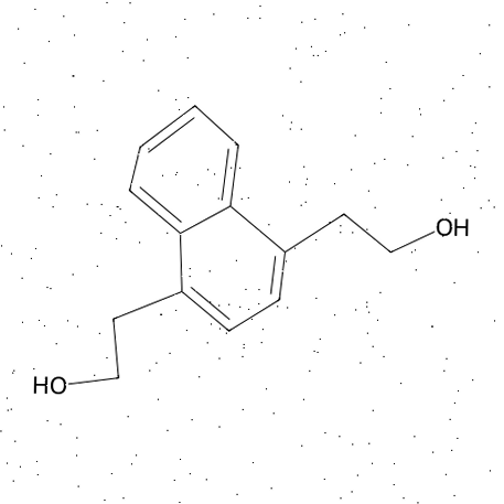 OCCc1ccc(CCO)c2ccccc12